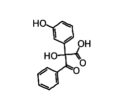 O=C(O)C(O)(C(=O)c1ccccc1)c1cccc(O)c1